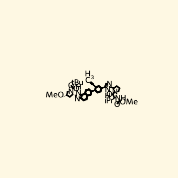 CC#Cc1cc(-c2cnc(C3CCCN3C(=O)C(NC(=O)OC)C(C)C)[nH]2)ccc1-c1ccc2c(ccc3nc([C@@H]4C[C@H](COC)CN4C(=O)OC(C)(C)C)[nH]c32)c1